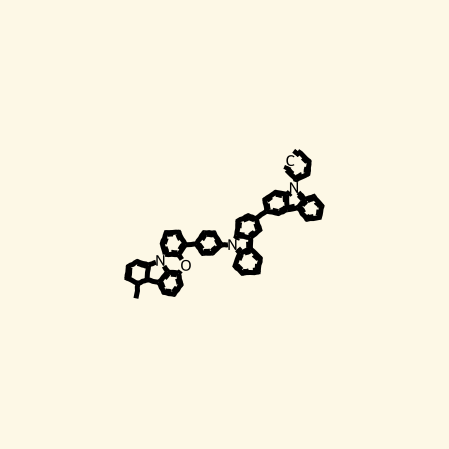 CC1C=CC=C2C1c1cccc3c1N2c1cccc(-c2ccc(-n4c5ccccc5c5cc(-c6ccc7c(c6)c6ccccc6n7-c6ccccc6)ccc54)cc2)c1O3